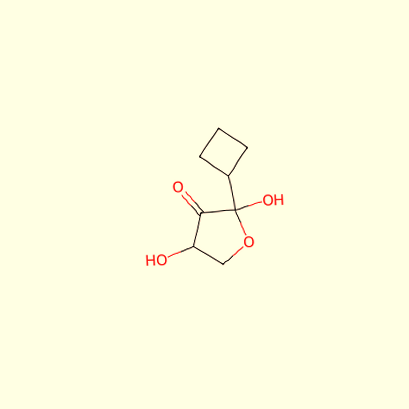 O=C1C(O)COC1(O)C1CCC1